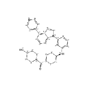 O=C([C@H]1CC[C@H](Nc2nccc(-n3ccc4c(-c5ccncc5)cccc43)n2)CC1)N1CCC(O)CC1